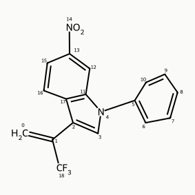 C=C(c1cn(-c2ccccc2)c2cc([N+](=O)[O-])ccc12)C(F)(F)F